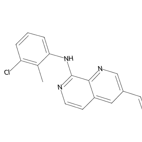 Cc1c(Cl)cccc1Nc1nccc2cc(C=O)cnc12